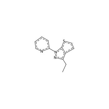 CCc1nn(-c2ccccn2)c2s[c]cc12